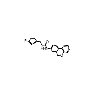 O=C(NCc1ccc(F)cc1)Nc1ccc2c(c1)COc1cnccc1-2